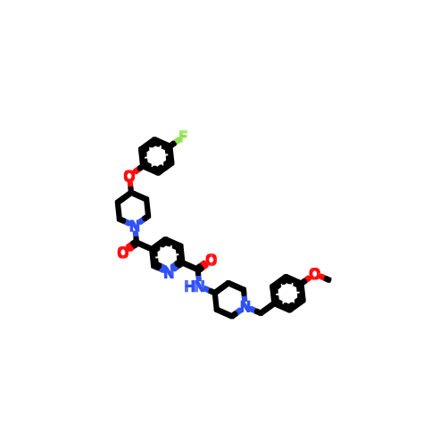 COc1ccc(CN2CCC(NC(=O)c3ccc(C(=O)N4CCC(Oc5ccc(F)cc5)CC4)cn3)CC2)cc1